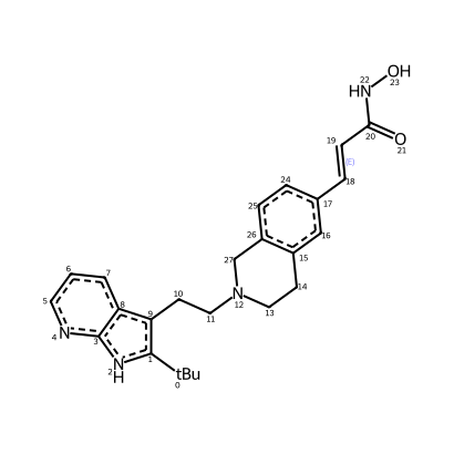 CC(C)(C)c1[nH]c2ncccc2c1CCN1CCc2cc(/C=C/C(=O)NO)ccc2C1